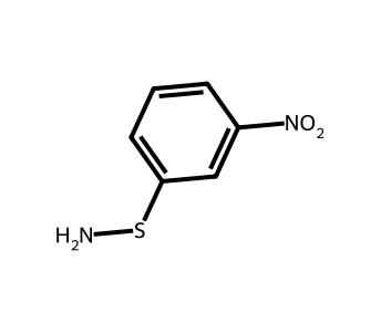 NSc1cccc([N+](=O)[O-])c1